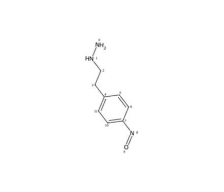 NNCCc1ccc(N=O)cc1